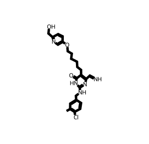 Cc1cc(CNc2nc(C=N)c(CCCCCCOc3ccc(CO)nc3)c(=O)[nH]2)ccc1Cl